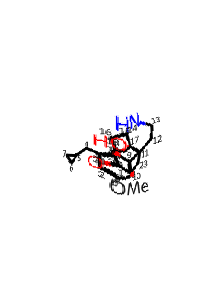 COc1cc(CC2CC2)c2c(c1)C13CCNC(C2)C1(O)CC(=O)CC3